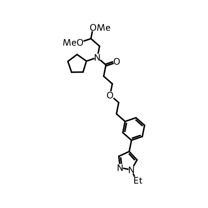 CCn1cc(-c2cccc(CCOCCC(=O)N(CC(OC)OC)C3CCCC3)c2)cn1